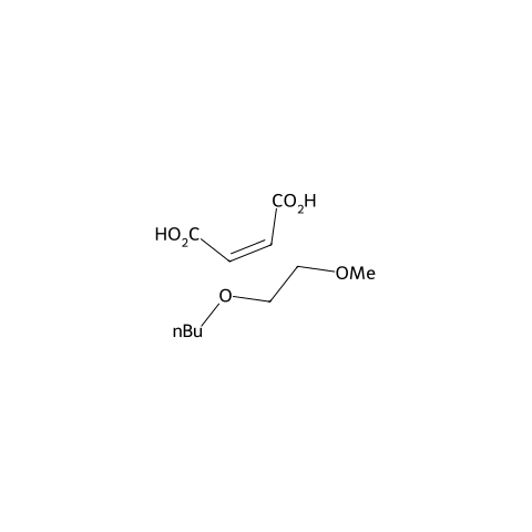 CCCCOCCOC.O=C(O)/C=C\C(=O)O